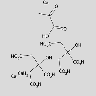 CC(=O)C(=O)O.O=C(O)CC(O)(CC(=O)O)C(=O)O.O=C(O)CC(O)(CC(=O)O)C(=O)O.[CaH2].[Ca].[Ca]